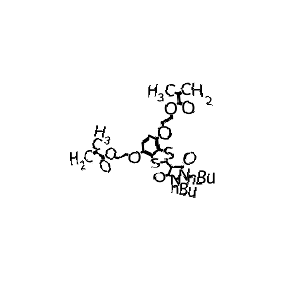 C=C(C)C(=O)OCCOc1ccc(OCCOC(=O)C(=C)C)c2c1SC(C1C(=O)N(CCCC)N(CCCC)C1=O)S2